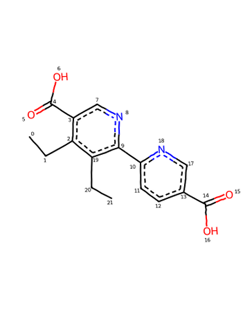 CCc1c(C(=O)O)cnc(-c2ccc(C(=O)O)cn2)c1CC